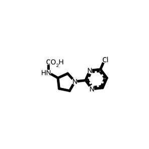 O=C(O)NC1CCN(c2nccc(Cl)n2)C1